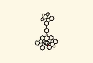 c1ccc(C2(c3ccccc3)c3ccccc3-c3ccc(N(c4ccc(-c5ccc6c(c5)-c5ccccc5C65c6ccccc6Oc6ccccc65)cc4)c4cccc5c4-c4ccccc4C54c5ccccc5Oc5ccccc54)cc32)cc1